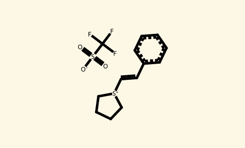 C(=C\[S+]1CCCC1)/c1ccccc1.O=S(=O)([O-])C(F)(F)F